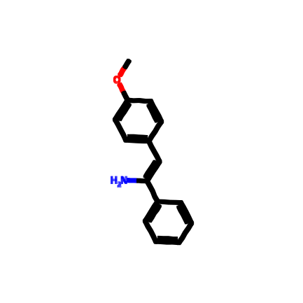 COc1ccc(C=C(N)c2ccccc2)cc1